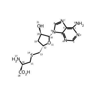 Nc1ncnc2c1ncn2[C@@H]1O[C@H](CSC[C@H](N)C(=O)O)C[C@H]1O